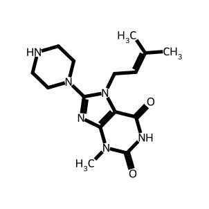 CC(C)=CCn1c(N2CCNCC2)nc2c1c(=O)[nH]c(=O)n2C